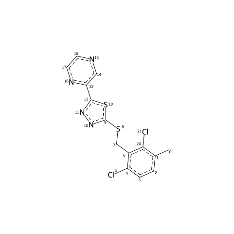 Cc1ccc(Cl)c(CSc2nnc(-c3cnccn3)s2)c1Cl